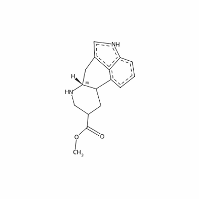 COC(=O)C1CN[C@@H]2Cc3c[nH]c4cccc(c34)C2C1